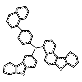 c1ccc2c(-c3ccc(N(c4ccc5oc6ccccc6c5c4)c4cccc5c4ccc4oc6ccccc6c45)cc3)cccc2c1